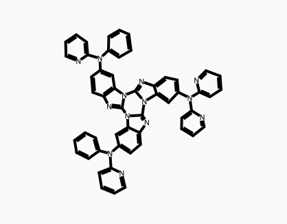 c1ccc(N(c2ccc3nc4n(c3c2)c2nc3ccc(N(c5ccccn5)c5ccccn5)cc3n2c2nc3ccc(N(c5ccccc5)c5ccccn5)cc3n42)c2ccccn2)cc1